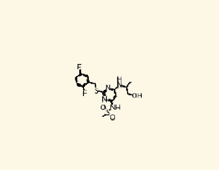 CC(CO)Nc1cc(NS(C)(=O)=O)nc(SCc2cc(F)ccc2F)n1